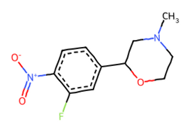 CN1CCOC(c2ccc([N+](=O)[O-])c(F)c2)C1